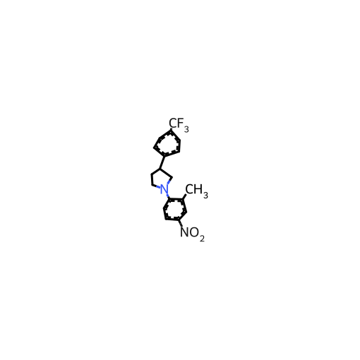 Cc1cc([N+](=O)[O-])ccc1N1CCC(c2ccc(C(F)(F)F)cc2)C1